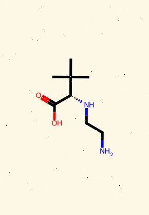 CC(C)(C)[C@H](NCCN)C(=O)O